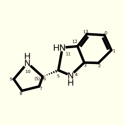 C1=CCC2NC([C@@H]3CCCN3)NC2=C1